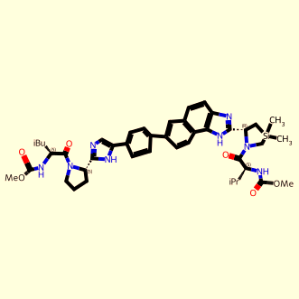 CCC(C)[C@H](NC(=O)OC)C(=O)N1CCC[C@H]1c1ncc(-c2ccc(-c3ccc4c(ccc5nc([C@@H]6C[Si](C)(C)CN6C(=O)[C@@H](NC(=O)OC)C(C)C)[nH]c54)c3)cc2)[nH]1